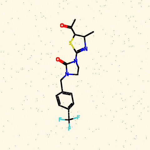 CC(=O)C1SC(N2CCN(Cc3ccc(C(F)(F)F)cc3)C2=O)=NC1C